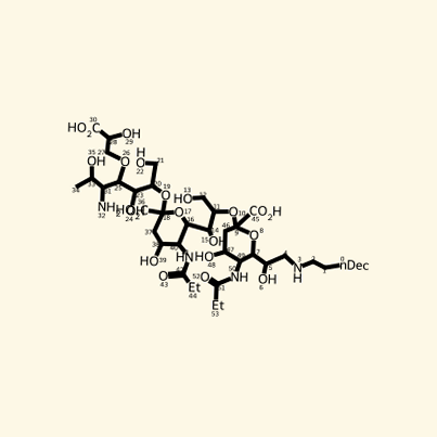 CCCCCCCCCCCCNCC(O)C1OC(OC(CO)C(O)C2OC(OC(CO)C(O)C(OCC(O)C(=O)O)C(N)C(C)O)(C(=O)O)CC(O)C2NC(=O)CC)(C(=O)O)CC(O)C1NC(=O)CC